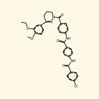 CCOc1cc(C2=NN(C(=O)c3ccc(NC(=O)c4ccc(NC(=O)c5ccc(Cl)cc5)cc4)cc3)CCC2)ccc1OC